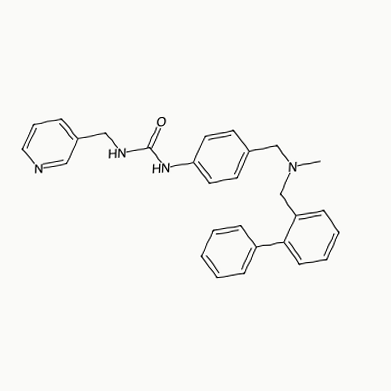 CN(Cc1ccc(NC(=O)NCc2cccnc2)cc1)Cc1ccccc1-c1ccccc1